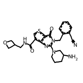 N#Cc1ccccc1Cn1c(N2CCCC(N)C2)nc2c(C(=O)NCC3COC3)csc2c1=O